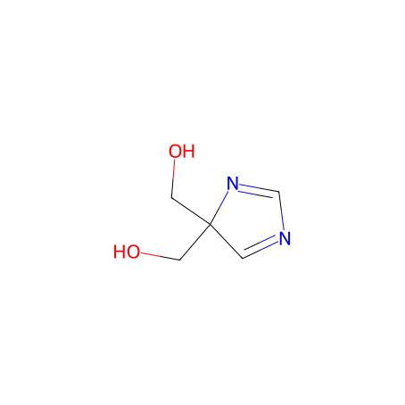 OCC1(CO)C=NC=N1